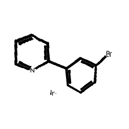 Brc1cccc(-c2ccccn2)c1.[Ir]